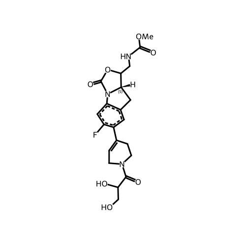 COC(=O)NCC1OC(=O)N2c3cc(F)c(C4=CCN(C(=O)C(O)CO)CC4)cc3C[C@@H]12